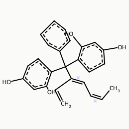 C=C/C(=C\C=C/C)C(c1ccccc1)(c1ccc(O)cc1O)c1ccc(O)cc1O